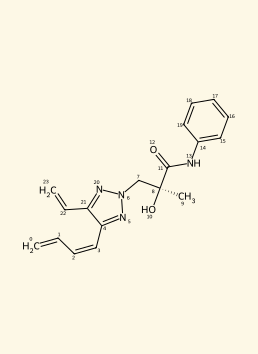 C=C/C=C\c1nn(C[C@](C)(O)C(=O)Nc2ccccc2)nc1C=C